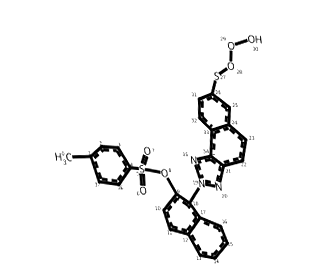 Cc1ccc(S(=O)(=O)Oc2ccc3ccccc3c2-n2nc3ccc4cc(SOOO)ccc4c3n2)cc1